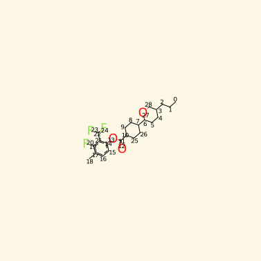 CCCC1CCC(C2CCC(C(=O)Oc3ccc(C)c(F)c3C(F)F)CC2)OC1